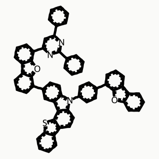 c1ccc(-c2cc(-c3cccc4c3oc3c(-c5ccc6c(c5)c5c7sc8ccccc8c7ccc5n6-c5ccc(-c6cccc7c6oc6ccccc67)cc5)cccc34)nc(-c3ccccc3)n2)cc1